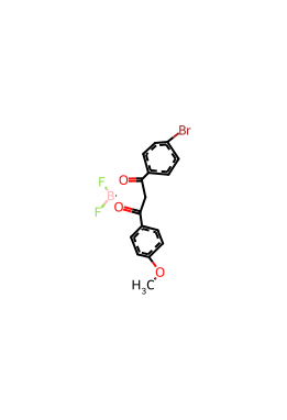 COc1ccc(C(=O)CC(=O)c2ccc(Br)cc2)cc1.F[B]F